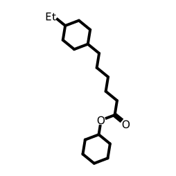 CCC1CCC(CCCCCC(=O)OC2CCCCC2)CC1